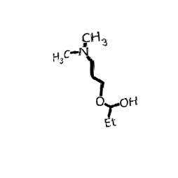 CCC(O)OCCCN(C)C